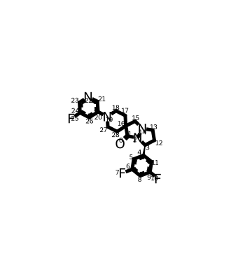 O=C1N2[C@H](c3cc(F)cc(F)c3)CCN2CC12CCN(c1cncc(F)c1)CC2